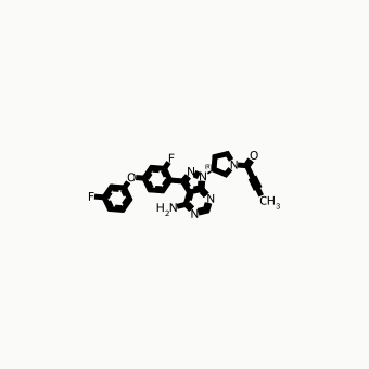 CC#CC(=O)N1CC[C@@H](n2nc(-c3ccc(Oc4cccc(F)c4)cc3F)c3c(N)ncnc32)C1